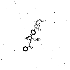 CC(=O)NC[C@H]1CN(c2ccc(C3=C(C=O)[C@@H](COC(=O)c4ccccc4)NC3)cc2)C(=O)O1